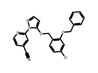 N#Cc1ccnc(-n2nccc2OCc2ccc(Cl)cc2OCc2ccccc2)c1